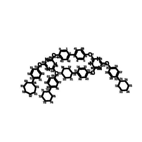 c1cc(-c2ccc(Oc3nc(Oc4ccc(C5CCCCC5)cc4)nc(Oc4ccc(C5CCCCC5)cc4)n3)cc2)ccc1Oc1nc(Oc2ccc(C3CCCCCC3)cc2)nc(Oc2ccc(C3CCCCC3)cc2)n1